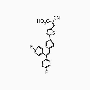 N#C/C(=C/c1ccc(-c2ccc(C=C(c3ccc(F)cc3)c3ccc(F)cc3)cc2)s1)C(=O)O